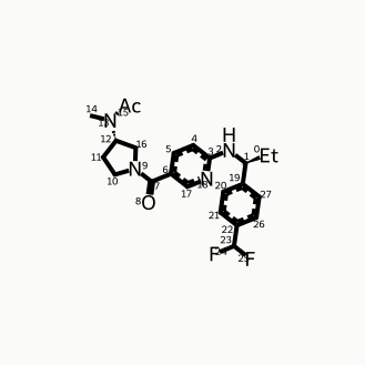 CC[C@H](Nc1ccc(C(=O)N2CC[C@H](N(C)C(C)=O)C2)cn1)c1ccc(C(F)F)cc1